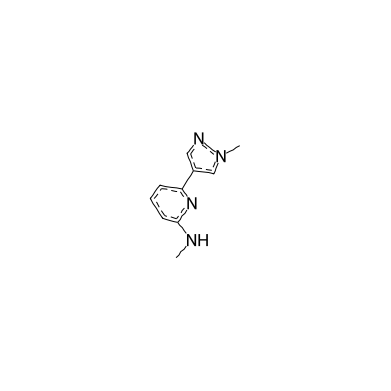 CNc1cccc(-c2cnn(C)c2)n1